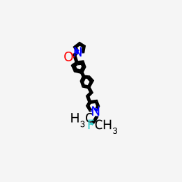 CC(C)(F)CN1CCC(CCC2C=CC(c3ccc(C(=O)N4CCCC4)cc3)=CC2)CC1